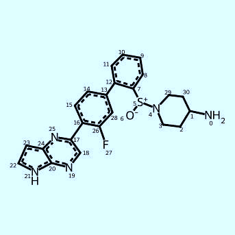 NC1CCN([S+]([O-])c2ccccc2-c2ccc(-c3cnc4[nH]ccc4n3)c(F)c2)CC1